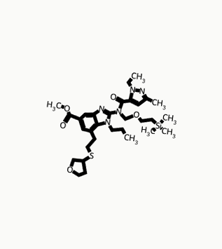 CCCn1c(N(COCC[Si](C)(C)C)C(=O)c2cc(C)nn2CC)nc2cc(C(=O)OC)cc(CCSC3CCOC3)c21